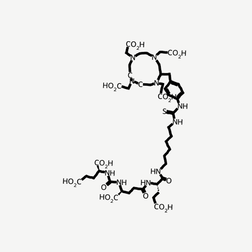 O=C(O)CC[C@H](NC(=O)N[C@@H](CCC(=O)N[C@@H](CCC(=O)O)C(=O)NCCCCCCNC(=S)Nc1ccc(CC2CN(CC(=O)O)CCN(CC(=O)O)CCN(CC(=O)O)CCN2CC(=O)O)cc1)C(=O)O)C(=O)O